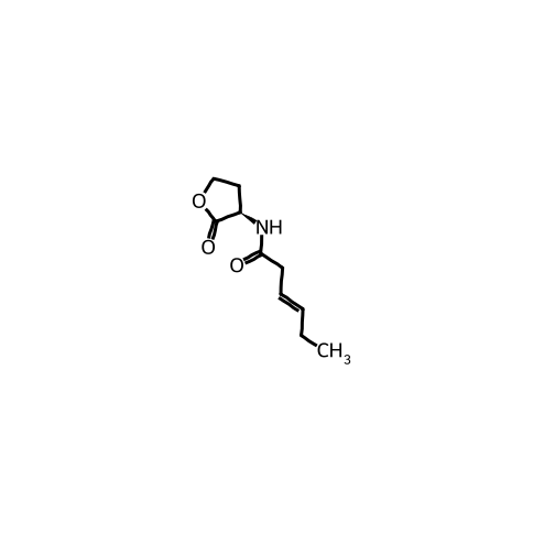 CC/C=C/CC(=O)N[C@@H]1CCOC1=O